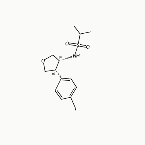 CC(C)S(=O)(=O)N[C@H]1COC[C@H]1c1ccc(I)cc1